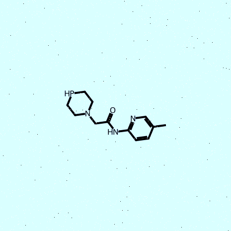 Cc1ccc(NC(=O)CN2CCPCC2)nc1